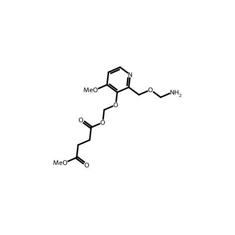 COC(=O)CCC(=O)OCOc1c(OC)ccnc1COCN